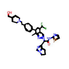 Cc1c(-c2ccc(CCN3CCC(CO)CC3)cc2)cc(C(F)F)c2cn(C(C(=O)Nc3nccs3)c3ncn4c3CCC4)nc12